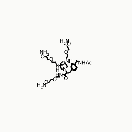 CC(=O)NCc1ccc(C[C@@H](C(=O)NCCOCCON)N(CC(=O)NCCOCCON)CC(=O)NCCOCCON)cc1